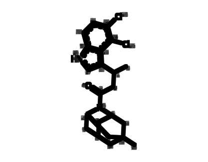 CC(CC(=O)N1C2CC3CC1CC(C)(C3)C2)c1c[nH]c2ccc(Cl)c(Cl)c12